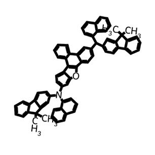 CC1(C)c2ccccc2-c2ccc(C(c3ccc4c(c3)c3ccccc3c3c5ccc(N(c6ccc7c(c6)C(C)(C)c6ccccc6-7)c6cccc7ccccc67)cc5oc43)c3cccc4ccccc34)cc21